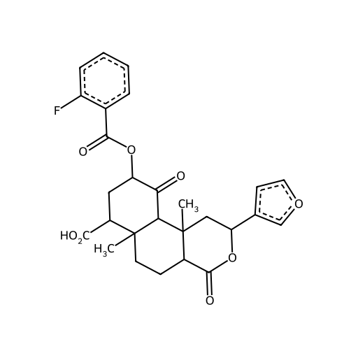 CC12CCC3C(=O)OC(c4ccoc4)CC3(C)C1C(=O)C(OC(=O)c1ccccc1F)CC2C(=O)O